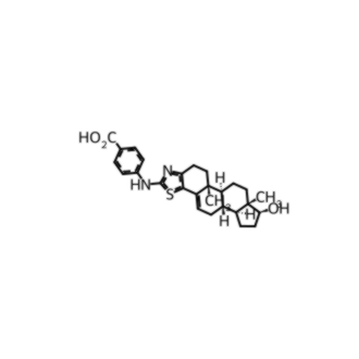 C[C@]12CC[C@H]3[C@@H](CC=C4c5sc(Nc6ccc(C(=O)O)cc6)nc5CC[C@@]43C)[C@@H]1CC[C@@H]2O